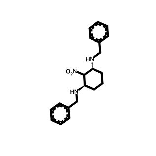 O=[N+]([O-])C1[C@H](NCc2ccccc2)CCC[C@H]1NCc1ccccc1